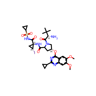 COc1cc2nc(C3CC3)nc(O[C@@H]3CC(C(=O)N[C@]4(C(=O)NS(=O)(=O)C5CC5)C[C@H]4I)N(C(=O)[C@@H](N)C(C)(C)C)C3)c2cc1OC